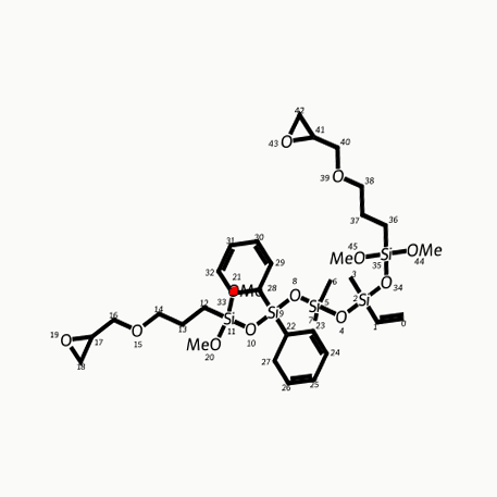 C=C[Si](C)(O[Si](C)(C)O[Si](O[Si](CCCOCC1CO1)(OC)OC)(C1C=CC=CC1)C1C=CC=CC1)O[Si](CCCOCC1CO1)(OC)OC